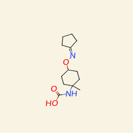 CC1(NC(=O)O)CCC(ON=C2CCCC2)CC1